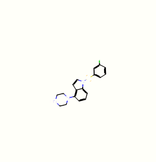 O=S(=O)(c1cccc(Cl)c1)n1ccc2c(N3CCNCC3)cccc21